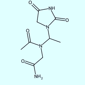 CC(=O)N(CC(N)=O)C(C)N1CC(=O)NC1=O